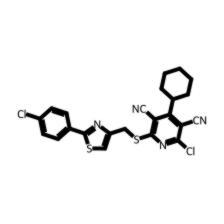 N#Cc1c(Cl)nc(SCc2csc(-c3ccc(Cl)cc3)n2)c(C#N)c1C1CCCCC1